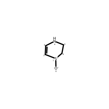 [O-][S+]1C=CNCC1